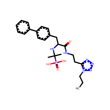 CC(C)(NC(Cc1ccc(-c2ccccc2)cc1)C(=O)NCCc1nnnn1CCC#N)P(=O)(O)O